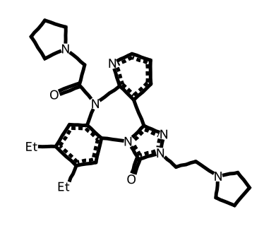 CCc1cc2c(cc1CC)-n1c(nn(CCN3CCCC3)c1=O)-c1cccnc1N2C(=O)CN1CCCC1